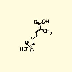 C/C(=C\CCCS(=O)(=O)O)C(=O)O